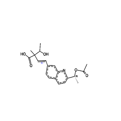 CC(=O)O[C@H](C)c1ccc2ccc(/C=C/C(C)(C(=O)O)C(C)O)cc2n1